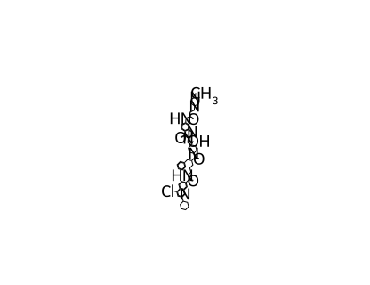 CN1CCN(CCC(=O)Nc2ccc3c(=O)n(CC4(O)CCN(C(=O)C(CCCNC(=O)c5ccc6c(Cl)cc(C7CCCCC7)nc6c5)Cc5ccccc5)CC4)cnc3c2)CC1